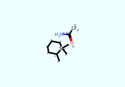 CC1CCCC[Si]1(C)C.NC(=O)C(F)(F)F